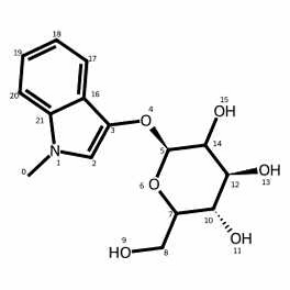 Cn1cc(O[C@@H]2OC(CO)[C@@H](O)[C@H](O)C2O)c2ccccc21